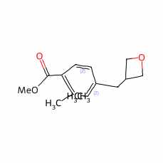 C/C=C(\C=C/C(C(=O)OC)=C(C)C)CC1COC1